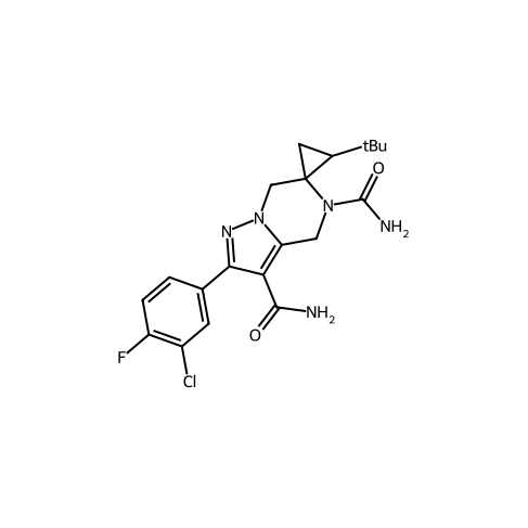 CC(C)(C)C1CC12Cn1nc(-c3ccc(F)c(Cl)c3)c(C(N)=O)c1CN2C(N)=O